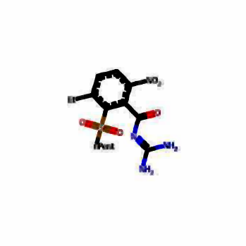 CCCCCS(=O)(=O)c1c(CC)ccc([N+](=O)[O-])c1C(=O)N=C(N)N